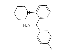 Cc1ccc(C(N)c2ccccc2N2CCCCC2)cc1